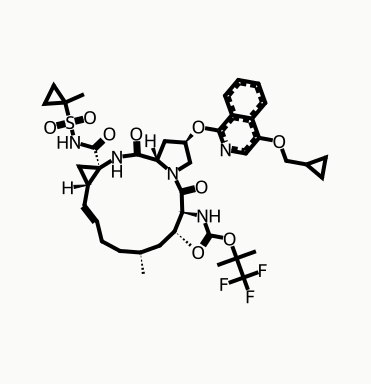 C[C@@H]1CC/C=C/[C@@H]2C[C@@]2(C(=O)NS(=O)(=O)C2(C)CC2)NC(=O)[C@@H]2C[C@@H](Oc3ncc(OCC4CC4)c4ccccc34)CN2C(=O)[C@@H](NC(=O)OC(C)(C)C(F)(F)F)[C@H](C)C1